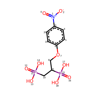 O=[N+]([O-])c1ccc(OCC(CP(=O)(O)O)P(=O)(O)O)cc1